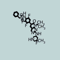 CC(C)n1c(=O)c(-c2cc(F)c(NS(=O)(=O)Cc3ccccc3)c(F)c2F)cc2cnc(N[C@@H]3CNC[C@@](C)(F)C3)nc21